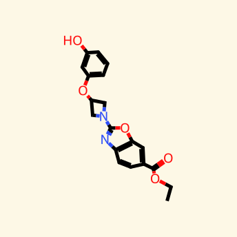 CCOC(=O)c1ccc2nc(N3CC(Oc4cccc(O)c4)C3)oc2c1